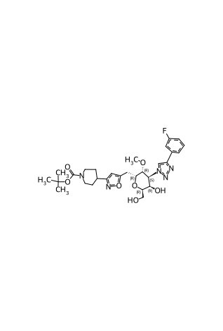 CO[C@@H]1[C@@H](n2cc(-c3cccc(F)c3)nn2)[C@@H](O)[C@@H](CO)O[C@@H]1Cc1cc(C2CCN(C(=O)OC(C)(C)C)CC2)no1